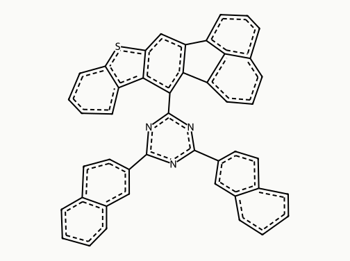 c1ccc2cc(-c3nc(-c4ccc5ccccc5c4)nc(-c4c5c(cc6sc7ccccc7c46)-c4cccc6cccc-5c46)n3)ccc2c1